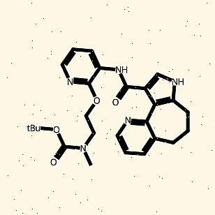 CN(CCOc1ncccc1NC(=O)c1c[nH]c2c1-c1ncccc1CCC2)C(=O)OC(C)(C)C